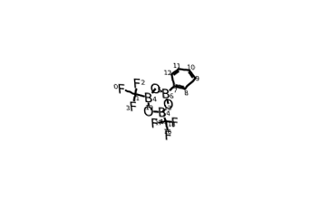 FC(F)(F)B1OB(c2ccccc2)OB(C(F)(F)F)O1